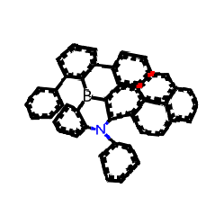 c1ccc(-c2cccc(-c3ccccc3)c2B2c3ccccc3N(c3ccccc3)c3c2cc2ccc4cccc5ccc3c2c45)cc1